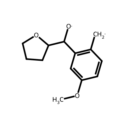 [CH2]c1ccc(OC)cc1C([O])C1CCCO1